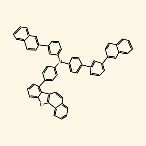 c1cc(-c2ccc(N(c3ccc(-c4cccc5oc6c7ccccc7ccc6c45)cc3)c3cccc(-c4ccc5ccccc5c4)c3)cc2)cc(-c2ccc3ccccc3c2)c1